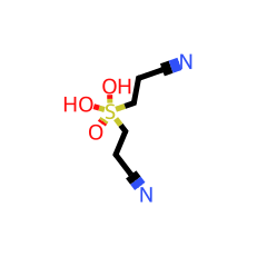 N#CCCS(=O)(O)(O)CCC#N